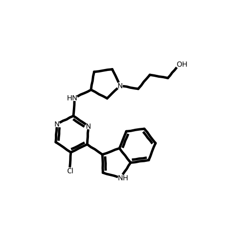 OCCCN1CCC(Nc2ncc(Cl)c(-c3c[nH]c4ccccc34)n2)C1